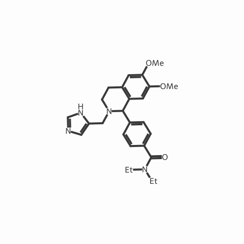 CCN(CC)C(=O)c1ccc(C2c3cc(OC)c(OC)cc3CCN2Cc2cnc[nH]2)cc1